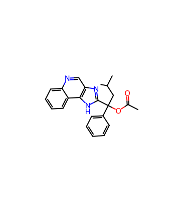 CC(=O)OC(CC(C)C)(c1ccccc1)c1nc2cnc3ccccc3c2[nH]1